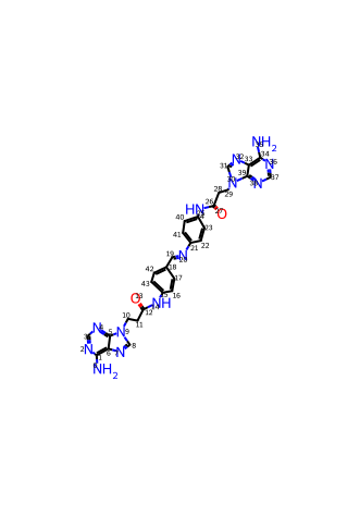 Nc1ncnc2c1ncn2CCC(=O)Nc1ccc(/C=N/c2ccc(NC(=O)CCn3cnc4c(N)ncnc43)cc2)cc1